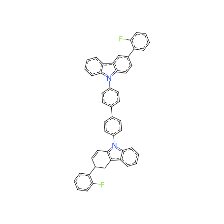 Fc1ccccc1-c1ccc2c(c1)c1ccccc1n2-c1ccc(-c2ccc(-n3c4c(c5ccccc53)CC(c3ccccc3F)C=C4)cc2)cc1